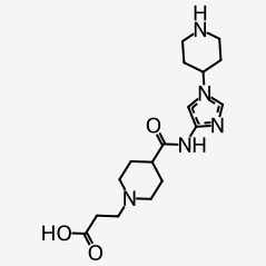 O=C(O)CCN1CCC(C(=O)Nc2cn(C3CCNCC3)cn2)CC1